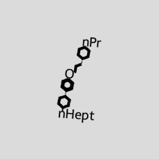 CCCCCCC[C@H]1CC[C@H](c2ccc(OCCC[C@H]3CC[C@H](CCC)CC3)cc2)CC1